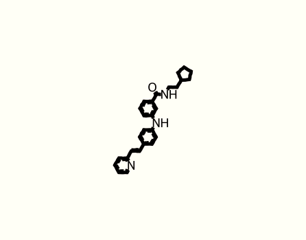 O=C(NCCC1CCCC1)c1cccc(Nc2ccc(C=Cc3ccccn3)cc2)c1